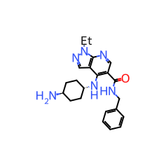 CCn1ncc2c(N[C@H]3CC[C@H](N)CC3)c(C(=O)NCc3ccccc3)cnc21